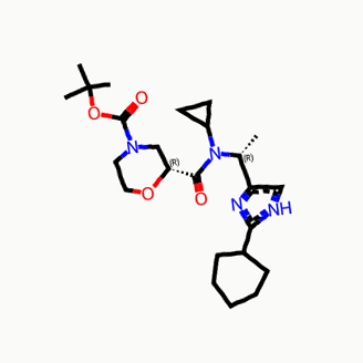 C[C@H](c1c[nH]c(C2CCCCC2)n1)N(C(=O)[C@H]1CN(C(=O)OC(C)(C)C)CCO1)C1CC1